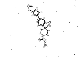 CC(=O)OCc1nc(-c2cnc(C3(F)CCN(C(=O)OC(C)(C)C)CC3)c(Cl)c2)no1